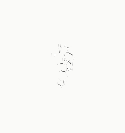 CC(O)C1=CS[C@@H]2C(NC(=O)Cc3cccs3)C(=O)N2C1C(=O)O